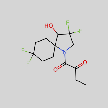 CCC(=O)C(=O)N1CC(F)(F)C(O)C12CCC(F)(F)CC2